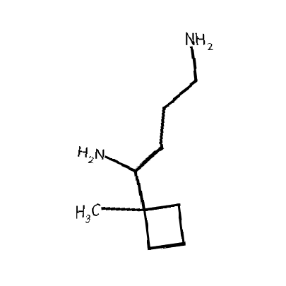 CC1(C(N)CCCN)CCC1